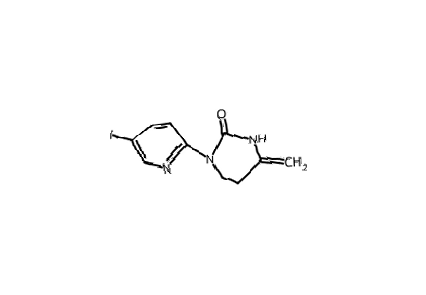 C=C1CCN(c2ccc(I)cn2)C(=O)N1